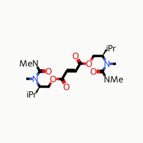 CNC(=O)N(C)[C@@H](COC(=O)/C=C/C(=O)OC[C@@H](C(C)C)N(C)C(=O)NC)C(C)C